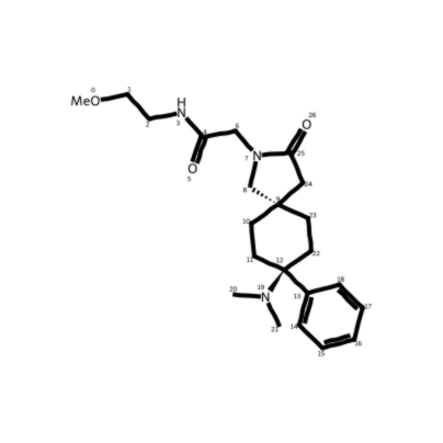 COCCNC(=O)CN1C[C@]2(CC[C@](c3ccccc3)(N(C)C)CC2)CC1=O